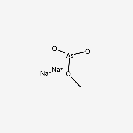 CO[As]([O-])[O-].[Na+].[Na+]